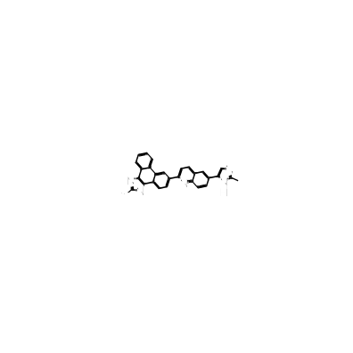 Cc1ncc(-c2ccc3nc(-c4ccc5c(c4)c4ccccc4c4nc(C(C)C)[nH]c54)ccc3c2)[nH]1